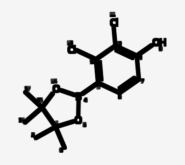 CC1(C)OB(c2ccc(O)c(Cl)c2Cl)OC1(C)C